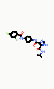 CC(C)NC(=O)c1[nH]cnc1C(=O)Nc1ccc(NC(=O)c2ccc(F)cc2Cl)cc1